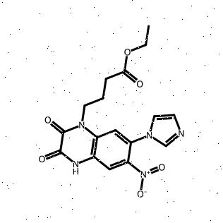 CCOC(=O)CCCn1c(=O)c(=O)[nH]c2cc([N+](=O)[O-])c(-n3ccnc3)cc21